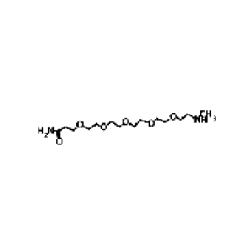 CNCCOCCOCCOCCOCCOCCC(N)=O